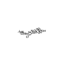 CC(C)n1ccc(CNc2nc3nc(O[C@@H]4CO[C@H]5[C@@H]4OC[C@H]5O)[nH]c3cc2Cl)n1